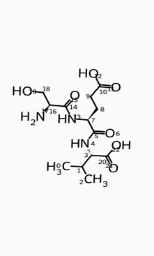 CC(C)[C@H](NC(=O)[C@H](CCC(=O)O)NC(=O)[C@@H](N)CO)C(=O)O